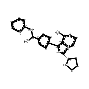 Nc1nccn2c([C@@H]3CCCN3)nc(-c3ccc(C(O)Nc4ccccn4)cc3)c12